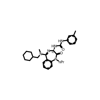 CCCN1C(=O)[C@H](NC(=O)Nc2cccc(C)c2)N=C(N(C)CC2CCCCC2)c2ccccc21